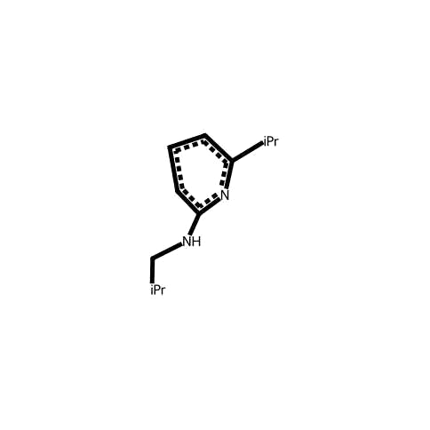 CC(C)CNc1cccc(C(C)C)n1